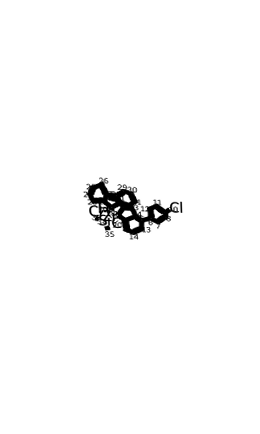 CCC1=Cc2c(-c3ccc(Cl)cc3)cccc2[CH]1[Zr]([Cl])([Cl])([CH]1c2ccccc2-c2ccccc21)[SiH](C)C